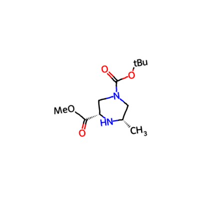 COC(=O)[C@@H]1CN(C(=O)OC(C)(C)C)C[C@H](C)N1